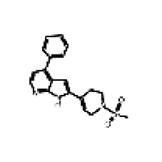 CS(=O)(=O)N1CC=C(c2cc3c(-c4ccccc4)ccnc3[nH]2)CC1